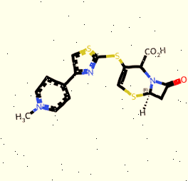 C[n+]1ccc(-c2csc(SC3=CS[C@@H]4CC(=O)N4C3C(=O)O)n2)cc1